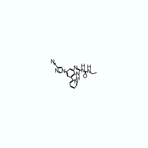 CCNC(=O)Nc1nc2cc(-n3cnc(C#N)c3)cc(-c3ccccn3)c2[nH]1